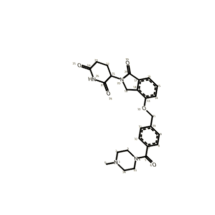 CN1CCN(C(=O)c2ccc(COc3cccc4c3CN(C3CCC(=O)NC3=O)C4=O)cc2)CC1